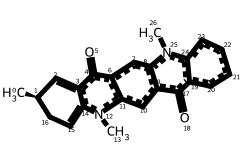 C[C@H]1C=c2c(=O)c3cc4c(cc3n(C)c2=CC1)c(=O)c1ccccc1n4C